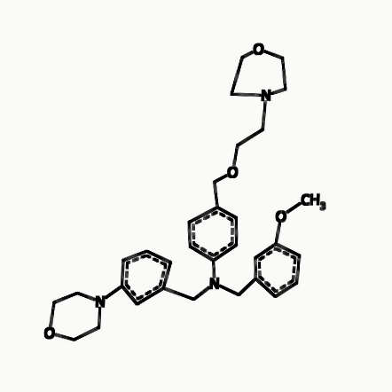 COc1cccc(CN(Cc2cccc(N3CCOCC3)c2)c2ccc(COCCN3CCOCC3)cc2)c1